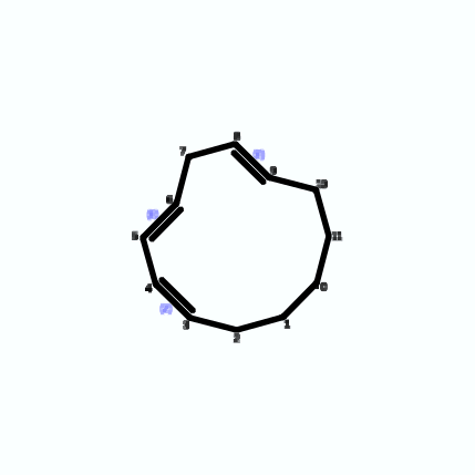 [CH]1CC/C=C\C=C\C/C=C/CC1